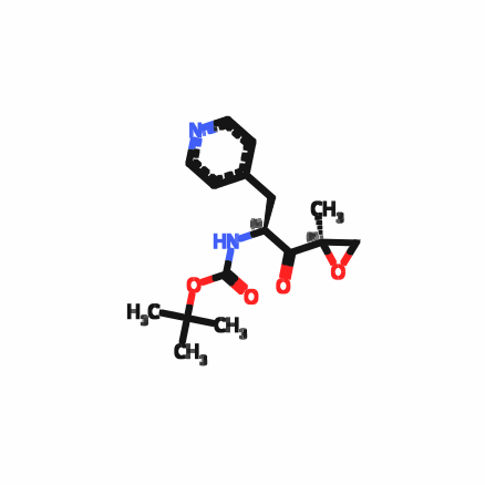 CC(C)(C)OC(=O)N[C@@H](Cc1ccncc1)C(=O)[C@@]1(C)CO1